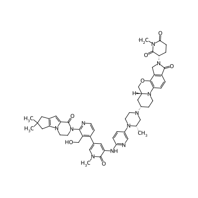 [CH2]N1C(=O)CC[C@H](N2Cc3c(ccc4c3OC[C@H]3C[C@@H](N5CCN(c6ccc(Nc7cc(-c8ccnc(N9CCn%10c(cc%11c%10CC(C)(C)C%11)C9=O)c8CO)cn(C)c7=O)nc6)[C@@H](C)C5)CCN43)C2=O)C1=O